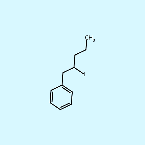 CCCC(I)Cc1ccccc1